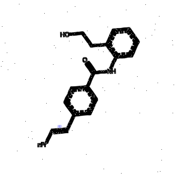 CCC/C=C/c1ccc(C(=O)Nc2ccccc2CCO)cc1